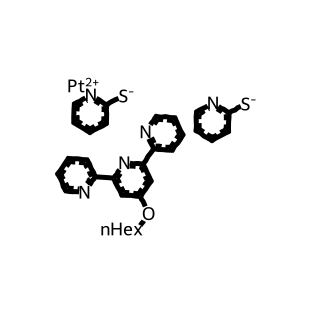 CCCCCCOc1cc(-c2ccccn2)nc(-c2ccccn2)c1.[Pt+2].[S-]c1ccccn1.[S-]c1ccccn1